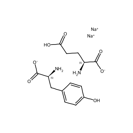 N[C@@H](CCC(=O)O)C(=O)[O-].N[C@@H](Cc1ccc(O)cc1)C(=O)[O-].[Na+].[Na+]